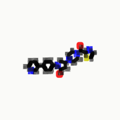 O=C(c1nccs1)N1CCN(C2CC(=O)N(c3ccc(-c4cccnc4)cc3)C2)CC1